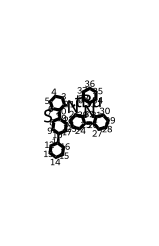 CC(C)(C)N(c1cccc2sc3cc(-c4ccccc4)ccc3c12)c1cccc2c3ccccc3n(-c3ccccc3)c12